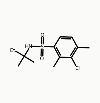 CCC(C)(C)NS(=O)(=O)c1ccc(C)c(Cl)c1C